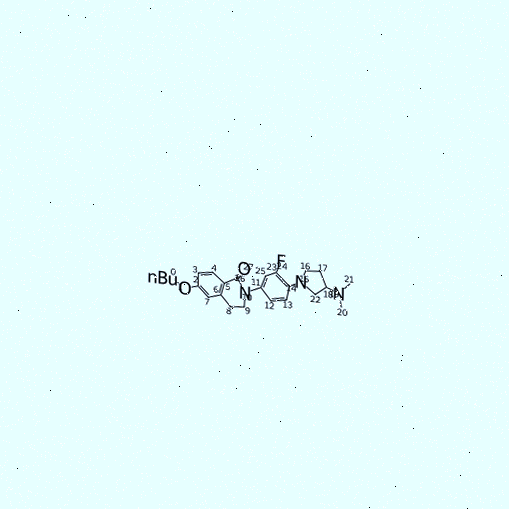 CCCCOc1ccc2c(c1)CCN(c1ccc(N3CCC(N(C)C)C3)c(F)c1)C2=O